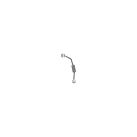 [Li][C]#CCCC